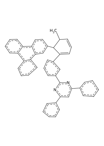 CC1C=CC=C(c2cccc(-c3nc(-c4ccccc4)cc(-c4ccccc4)n3)c2)C1c1ccc2c3ccccc3c3ccccc3c2c1